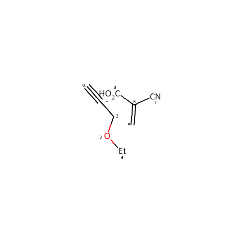 C#CCOCC.C=C(C#N)C(=O)O